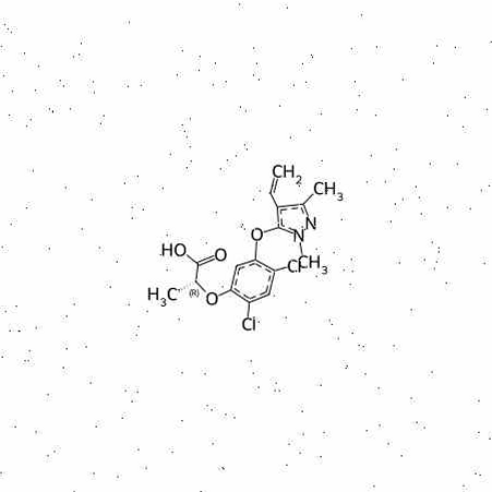 C=Cc1c(C)nn(C)c1Oc1cc(O[C@H](C)C(=O)O)c(Cl)cc1Cl